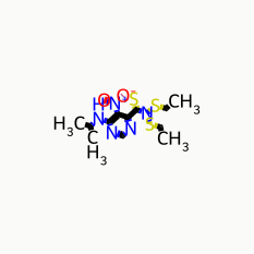 CCSN(SCC)C(=S)c1ncnc(NC(C)C)c1[N+](=O)[O-]